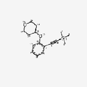 C[Si](C)(C)C#Cc1ccccc1OC1CCOCC1